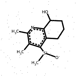 Cc1nc2c(c([S+](C)[O-])c1C)CCCC2O